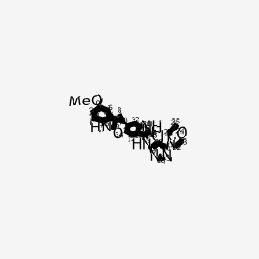 COc1ccc2c(c1)[C@]1(C[C@H]1c1ccc3c(Nc4ncnc(N5CCOCC5)c4Cl)n[nH]c3c1)C(=O)N2